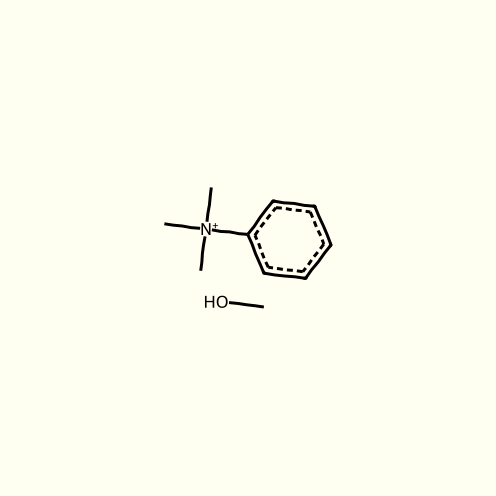 CO.C[N+](C)(C)c1ccccc1